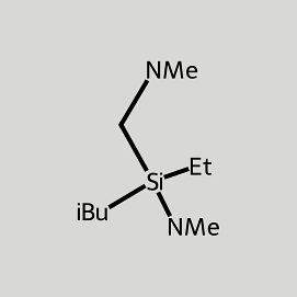 CCC(C)[Si](CC)(CNC)NC